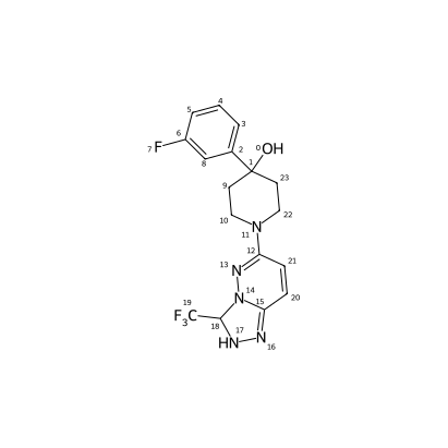 OC1(c2cccc(F)c2)CCN(C2=NN3C(=NNC3C(F)(F)F)C=C2)CC1